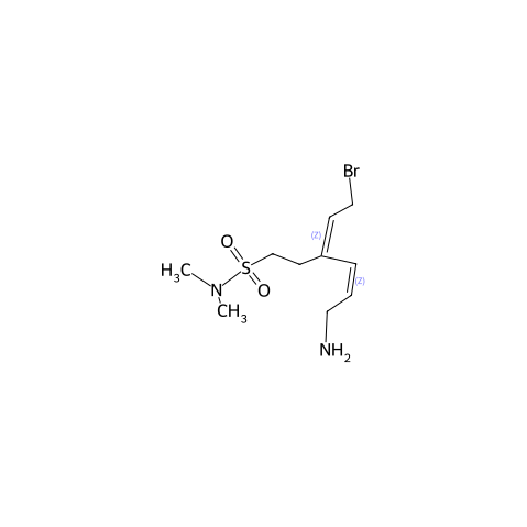 CN(C)S(=O)(=O)CCC(/C=C\CN)=C/CBr